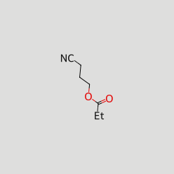 [CH2]CC(=O)OCCCC#N